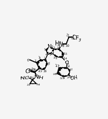 Cc1cc(-c2cnc3c(NCCC(F)(F)F)cc(Oc4cccc(O)c4)cn23)ccc1C(=O)NC1(C#N)CC1